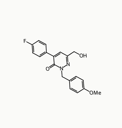 COc1ccc(Cn2nc(CO)cc(-c3ccc(F)cc3)c2=O)cc1